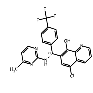 Cc1ccnc(N[C@H](c2ccc(C(F)(F)F)cc2)c2cc(Cl)c3cccnc3c2O)n1